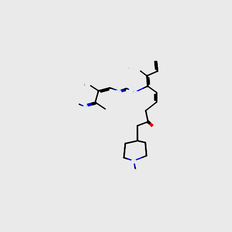 C=C/C(OC)=C(\C=C/CC(=O)CC1CCN(C)CC1)N/C=N/C=C(\C(C)=N/C)C(C)C